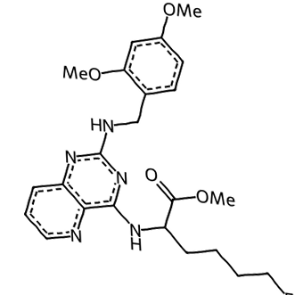 COC(=O)C(CCCCF)Nc1nc(NCc2ccc(OC)cc2OC)nc2cccnc12